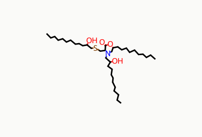 CCCCCCCCCCC(O)CSCC1C(=O)OC(CCCCCCCCCC)CN1CC(O)CCCCCCCCCC